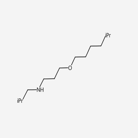 CC(C)CCCCOCCCNCC(C)C